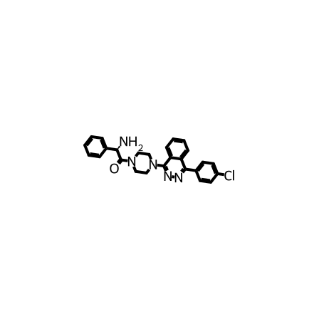 N[C@H](C(=O)N1CCN(c2nnc(-c3ccc(Cl)cc3)c3ccccc23)CC1)c1ccccc1